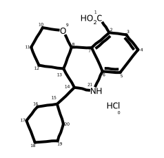 Cl.O=C(O)c1cccc2c1C1OCCCC1C(C1CCCCC1)N2